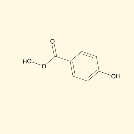 O=C(OO)c1ccc(O)cc1